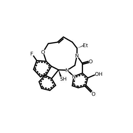 CC[C@H]1C/C=C/COc2c(F)cccc2[C@@](S)(c2ccccc2)N2CN1C(=O)c1c(O)c(=O)ccn12